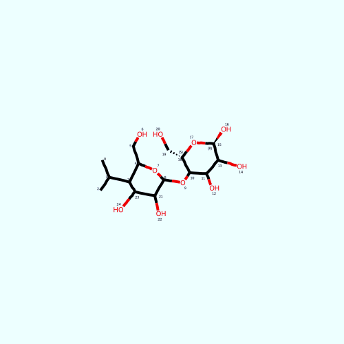 CC(C)C1C(CO)OC(OC2C(O)C(O)[C@H](O)O[C@H]2CO)C(O)C1O